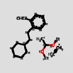 C=C.CCOC(C)OCC.O=Cc1ccccc1CCC1CCCCC1